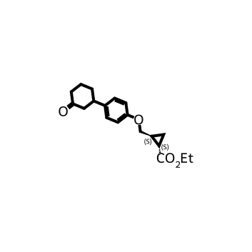 CCOC(=O)[C@H]1C[C@@H]1COc1ccc(C2CCCC(=O)C2)cc1